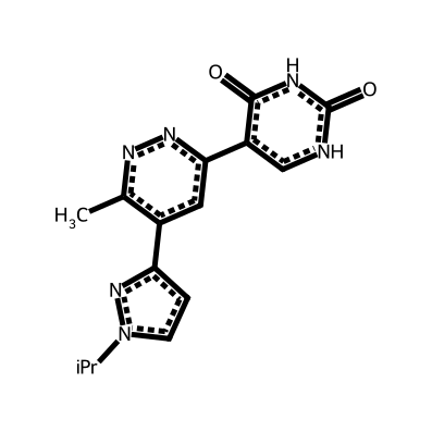 Cc1nnc(-c2c[nH]c(=O)[nH]c2=O)cc1-c1ccn(C(C)C)n1